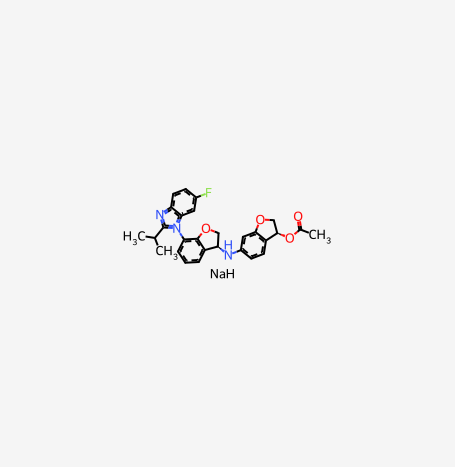 CC(=O)O[C@@H]1COc2cc(N[C@@H]3COc4c3cccc4-n3c(C(C)C)nc4ccc(F)cc43)ccc21.[NaH]